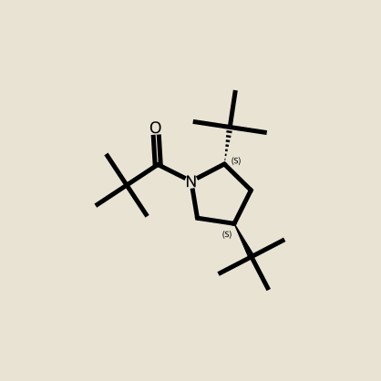 CC(C)(C)C(=O)N1C[C@H](C(C)(C)C)C[C@H]1C(C)(C)C